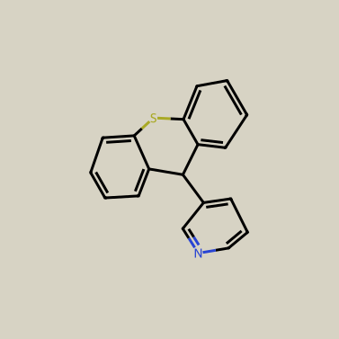 c1cncc(C2c3ccccc3Sc3ccccc32)c1